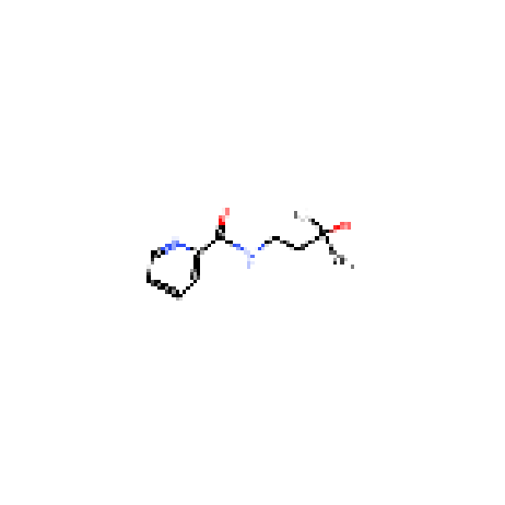 CC(C)(O)CCNC(=O)c1ccccn1